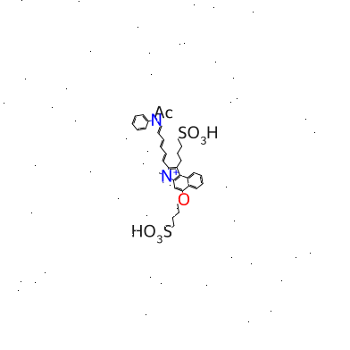 CC(=O)N(C=CC=CC=CC1=C(CCCCS(=O)(=O)O)c2c(cc(OCCCCS(=O)(=O)O)c3ccccc23)[N+]1(C)C)c1ccccc1